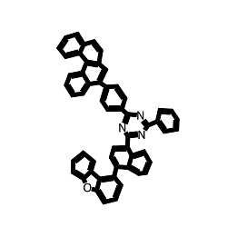 c1ccc(-c2nc(-c3ccc(-c4cc5ccc6ccccc6c5c5ccccc45)cc3)nc(-c3ccc(-c4cccc5oc6ccccc6c45)c4ccccc34)n2)cc1